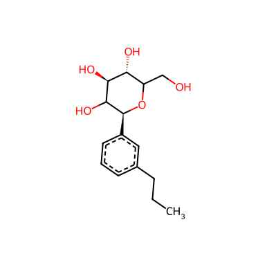 CCCc1cccc([C@@H]2OC(CO)[C@@H](O)[C@H](O)C2O)c1